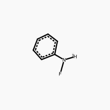 [3H]N(F)c1ccccc1